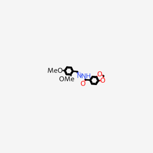 COc1ccc(/C=N/NC(=O)c2ccc3c(c2)OCO3)c(OC)c1